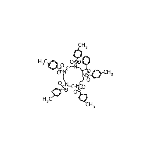 Cc1ccc(S(=O)(=O)N2CCN(S(=O)(=O)c3ccc(C)cc3)CCN(S(=O)(=O)c3ccc(C)cc3)CC(Cc3ccccc3)N(S(=O)(=O)c3ccc(C)cc3)CCN(S(=O)(=O)c3ccc(C)cc3)CC2)cc1